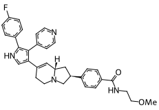 COCCNC(=O)c1ccc([C@@H]2C[C@H]3C=C(c4c[nH]c(-c5ccc(F)cc5)c4-c4ccncc4)CCN3C2)cc1